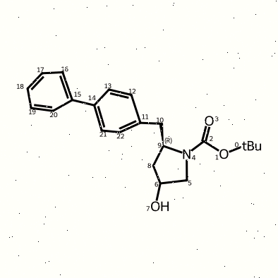 CC(C)(C)OC(=O)N1CC(O)C[C@H]1Cc1ccc(-c2ccccc2)cc1